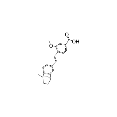 COc1cc(C(=O)O)ccc1/C=C/c1ccc2c(c1)C1(C)CCC2(C)C1